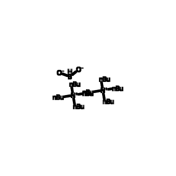 CCCC[N+](CCCC)(CCCC)CCCC.CCCC[N+](CCCC)(CCCC)CCCC.[O-]B[O-]